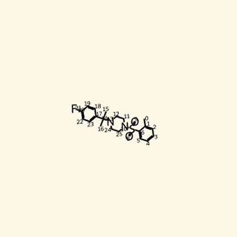 Cc1ccccc1S(=O)(=O)N1CCN(C(C)(C)c2ccc(F)cc2)CC1